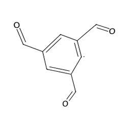 O=Cc1[c]c(C=O)cc(C=O)c1